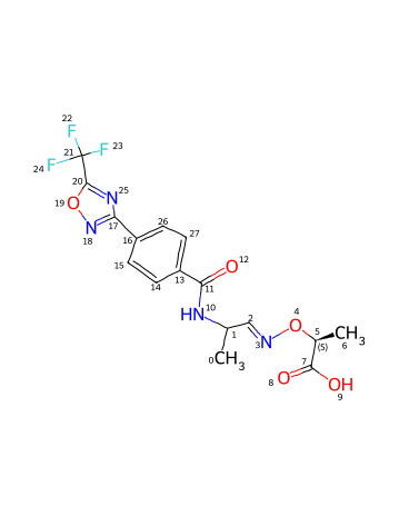 CC(C=NO[C@@H](C)C(=O)O)NC(=O)c1ccc(-c2noc(C(F)(F)F)n2)cc1